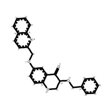 O=C1c2cc(OCc3ccc4ccccc4n3)ccc2OCC1OCc1ccccc1